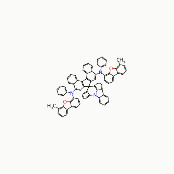 Cc1cccc2c1oc1c(N(c3ccccc3)c3cc4c(c5ccccc35)-c3c(cc(N(c5ccccc5)c5cccc6c5oc5c(C)cccc56)c5ccccc35)C43c4ccccc4-n4c5ccccc5c5cccc3c54)cccc12